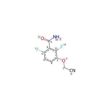 N#CCOc1ccc(F)c(C(N)=O)c1F